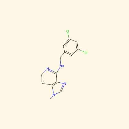 Cn1cnc2c(NCc3cc(Cl)cc(Cl)c3)nccc21